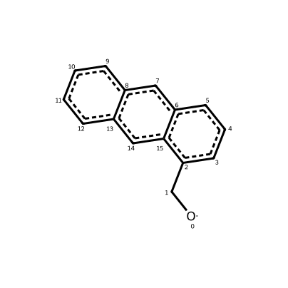 [O]Cc1cccc2cc3ccccc3cc12